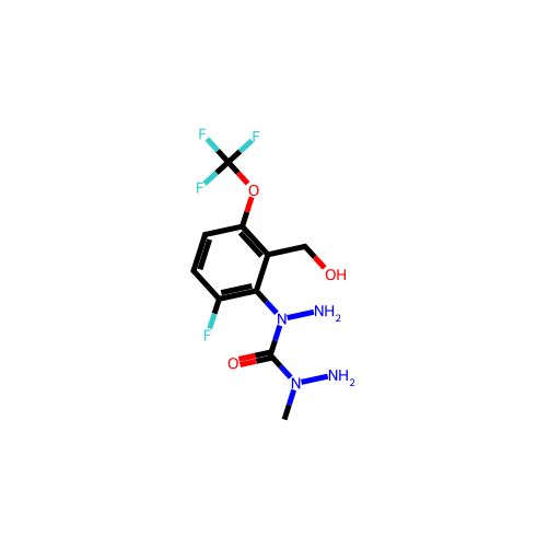 CN(N)C(=O)N(N)c1c(F)ccc(OC(F)(F)F)c1CO